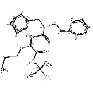 CCCC[C@H](NC(=O)[C@@H](CSc1ncccn1)Cc1ccccc1)C(=O)OC(C)(C)C